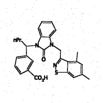 CCCC(c1cccc(C(=O)O)c1)n1c(=O)n(Cc2nsc3cc(C)cc(C)c23)c2ccccc21